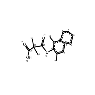 Cc1cc2ccccc2c(C)c1OC(=O)C(C)(C)C(=O)O